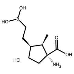 C[C@@H]1[C@H](CCB(O)O)CC[C@]1(N)C(=O)O.Cl